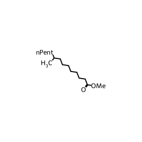 CCCCCC(C)CCCCCCCC(=O)OC